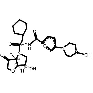 CN1CCN(c2ccc(C(=O)N[C@H](C(=O)N3C[C@H](O)[C@H]4OCC(=O)[C@H]43)C3CCCCC3)cc2)CC1